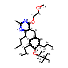 CCCCc1nc(C)nc(OCCOC)c1Cc1cc(CCC)c(O[Si](C)(C)C(C)(C)C)c(CCC)c1